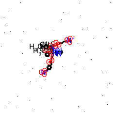 COc1ccccc1Oc1c(OCCOC(=O)Cc2ccc(CO[N+](=O)[O-])cc2)nc(-c2ncccn2)nc1N(C(C)OC(=O)OCCCCO[N+](=O)[O-])S(=O)(=O)c1ccc(C(C)(C)C)cc1